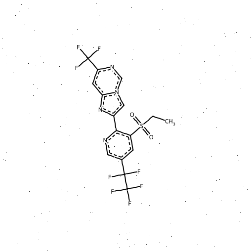 CCS(=O)(=O)c1cc(C(F)(F)C(F)(F)F)cnc1-c1cn2cnc(C(F)(F)F)cc2n1